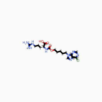 N=C(N)NCCC[C@@H](NC(=O)OCCCCCn1cnc2c(Cl)ncnc21)C(=O)O